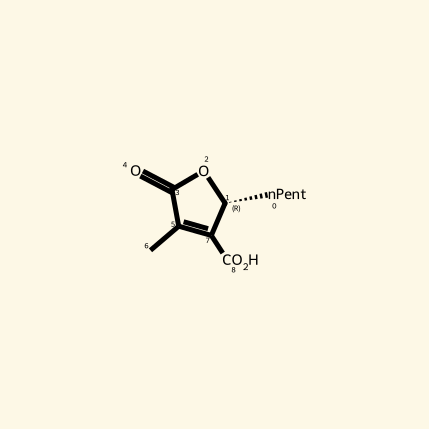 CCCCC[C@H]1OC(=O)C(C)=C1C(=O)O